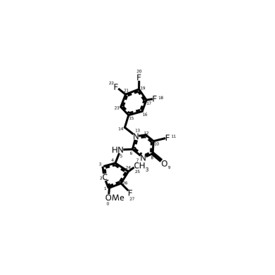 COc1ccc(Nc2nc(=O)c(F)cn2Cc2cc(F)c(F)c(F)c2)c(C)c1F